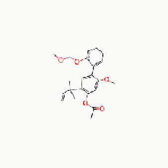 C=CC(C)(C)c1cc(C2=C[CH]CC=C2OCOC)c(OC)cc1OC(C)=O